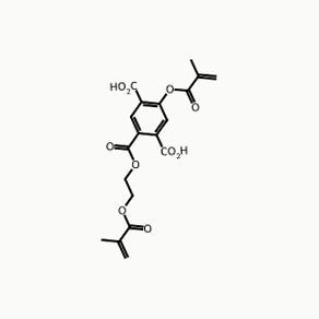 C=C(C)C(=O)OCCOC(=O)c1cc(C(=O)O)c(OC(=O)C(=C)C)cc1C(=O)O